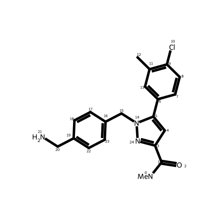 CNC(=O)c1cc(-c2ccc(Cl)c(C)c2)n(Cc2ccc(CN)cc2)n1